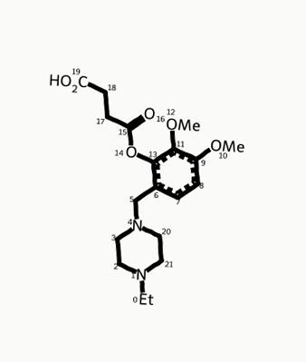 CCN1CCN(Cc2ccc(OC)c(OC)c2OC(=O)CCC(=O)O)CC1